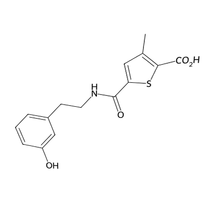 Cc1cc(C(=O)NCCc2cccc(O)c2)sc1C(=O)O